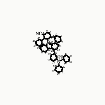 N#Cc1ccc(-c2ccccc2)c(-n2c3ccccc3c3c(-c4cccc(N(c5ccccc5)c5ccccc5)c4)cccc32)c1-c1ccccc1